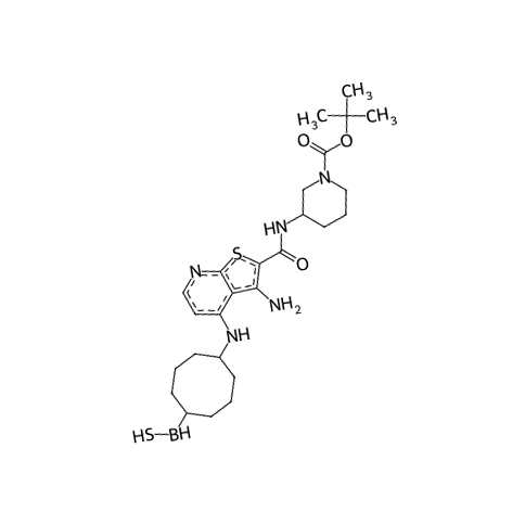 CC(C)(C)OC(=O)N1CCCC(NC(=O)c2sc3nccc(NC4CCCC(BS)CCC4)c3c2N)C1